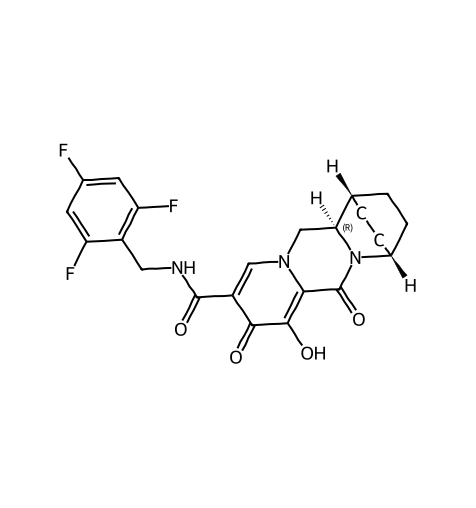 O=C(NCc1c(F)cc(F)cc1F)c1cn2c(c(O)c1=O)C(=O)N1[C@H]3CC[C@H](CC3)[C@@H]1C2